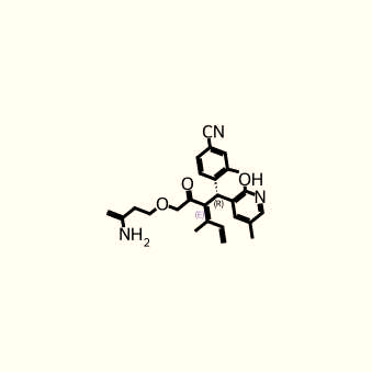 C=C/C(C)=C(/C(=O)COCCC(=C)N)[C@H](c1ccc(C#N)cc1C)c1cc(C)cnc1O